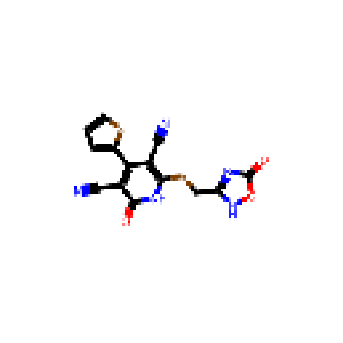 N#Cc1c(SCc2nc(=O)o[nH]2)[nH]c(=O)c(C#N)c1-c1cccs1